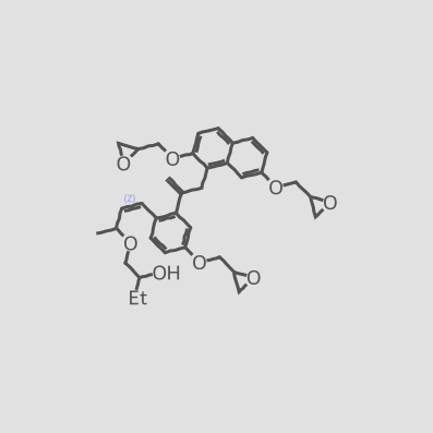 C=C(Cc1c(OCC2CO2)ccc2ccc(OCC3CO3)cc12)c1cc(OCC2CO2)ccc1/C=C\C(C)OCC(O)CC